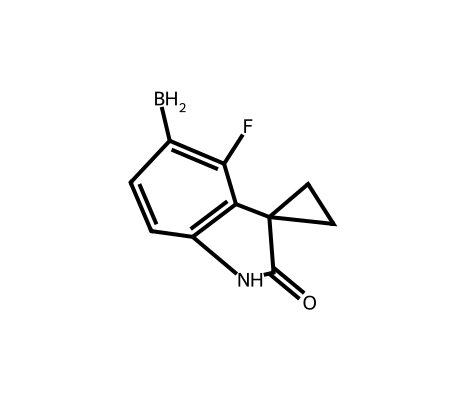 Bc1ccc2c(c1F)C1(CC1)C(=O)N2